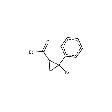 CCC(=O)C1CC1(Br)c1ccccc1